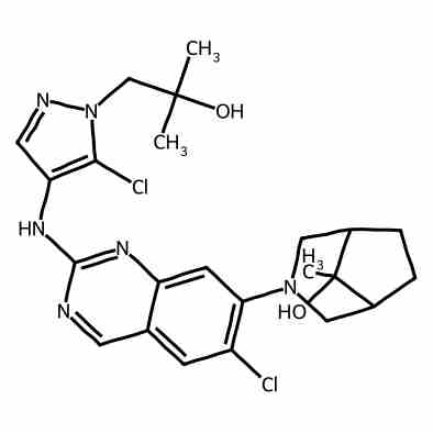 CC(C)(O)Cn1ncc(Nc2ncc3cc(Cl)c(N4CC5CCC(C4)C5(C)O)cc3n2)c1Cl